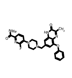 CNC(=O)c1ccc(N2CCN(Cc3cc(Oc4ccccc4)c4nc(C)c(=O)[nH]c4c3)CC2)c(F)n1